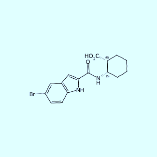 O=C(N[C@H]1CCCC[C@H]1C(=O)O)c1cc2cc(Br)ccc2[nH]1